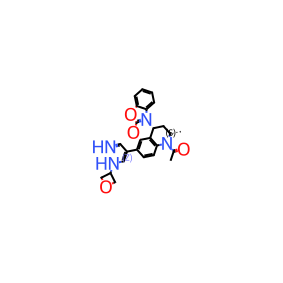 CC(=O)N1c2ccc(/C(C=N)=C/NC3COC3)c(Oc3nc4ccccc4o3)c2CC[C@@H]1C